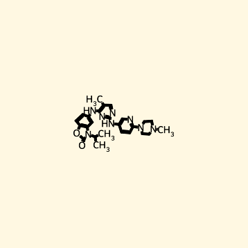 Cc1cnc(Nc2ccc(N3CCN(C)CC3)nc2)nc1Nc1ccc2oc(=O)n(C(C)C)c2c1